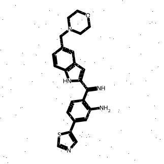 N=C(c1cc2cc(CN3CCOCC3)ccc2[nH]1)c1ccc(-c2cncs2)cc1N